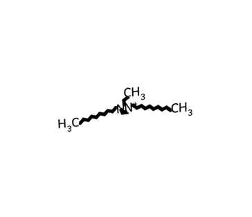 CCCCCCCCCCCn1cc[n+](CCCCCCCCCCC)c1CCC